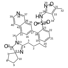 CCCCC1=NC2(CCCC2)C(=O)N1Cc1cc(-c2ccccc2S(=O)(=O)Nc2noc(C)c2C)cc2cnccc12